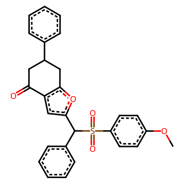 COc1ccc(S(=O)(=O)C(c2ccccc2)c2cc3c(o2)CC(c2ccccc2)CC3=O)cc1